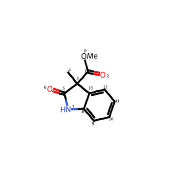 COC(=O)C1(C)C(=O)Nc2ccccc21